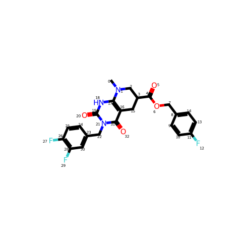 CN1CC(C(=O)OCc2ccc(F)cc2)Cc2c1[nH]c(=O)n(Cc1ccc(F)c(F)c1)c2=O